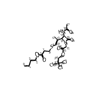 CCCCOC(=O)CCSC=C(C)C1C(NC(C)=O)C(=O)N1CC(=O)OCC(Cl)(Cl)Cl